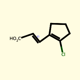 O=C(O)/C=C/C1=C(Cl)CCC1